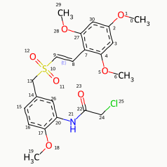 COc1cc(OC)c(/C=C/S(=O)(=O)Cc2ccc(OC)c(NC(=O)CCl)c2)c(OC)c1